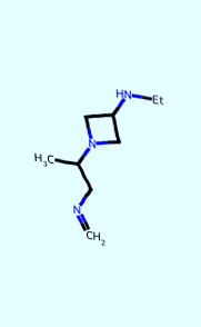 C=NCC(C)N1CC(NCC)C1